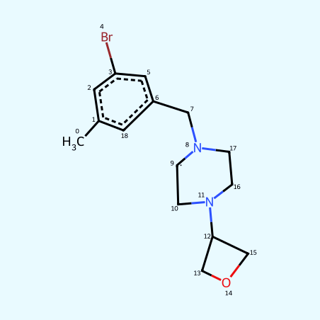 Cc1cc(Br)cc(CN2[CH]CN(C3COC3)CC2)c1